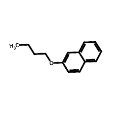 CCCCOc1ccc2ccccc2c1